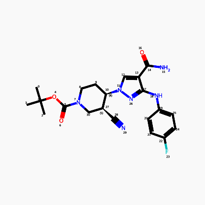 CC(C)(C)OC(=O)N1CC[C@@H](n2cc(C(N)=O)c(Nc3ccc(F)cc3)n2)[C@@H](C#N)C1